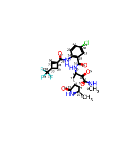 CNC(=O)C(=O)C(C[C@@H]1C[C@@H](C)NC1=O)NC(=O)c1cc(Cl)ccc1NC(=O)C12CC(C(F)(F)F)(C1)C2